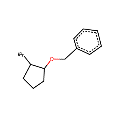 CC(C)C1CCCC1OCc1ccccc1